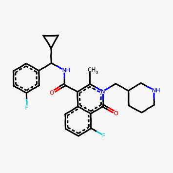 Cc1c(C(=O)NC(c2cccc(F)c2)C2CC2)c2cccc(F)c2c(=O)n1CC1CCCNC1